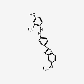 Oc1ccc(N=Nc2ccc(-c3nc4cc(OC(F)(F)F)ccc4s3)cc2)c(C(F)(F)F)c1